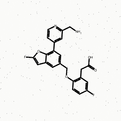 NCc1cc(-c2cc(COc3ccc(F)cc3CC(=O)O)cc3cc(F)oc23)ccn1